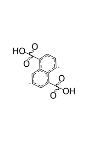 O=S(=O)(O)c1c[c]cc2c(S(=O)(=O)O)cc[c]c12